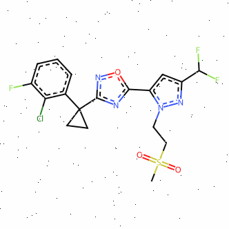 CS(=O)(=O)CCn1nc(C(F)F)cc1-c1nc(C2(c3cccc(F)c3Cl)CC2)no1